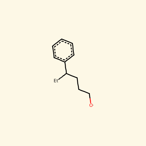 CCC(CCC[O])c1ccccc1